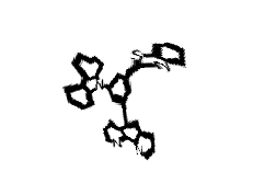 c1cnc2c(c1)cc(-c1cc(-c3nc4ccccc4s3)cc(-n3c4ccccc4c4ccccc43)c1)c1cccnc12